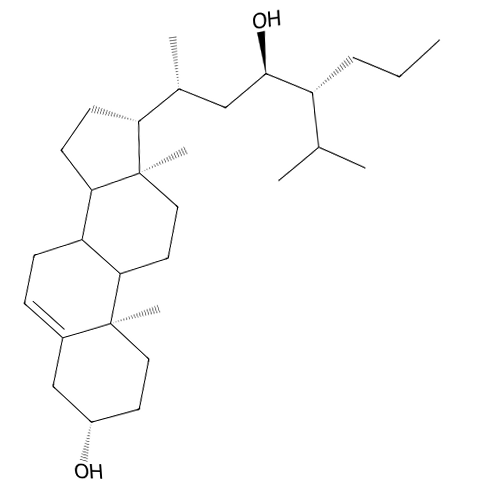 CCC[C@H](C(C)C)[C@H](O)C[C@@H](C)[C@H]1CCC2C3CC=C4C[C@@H](O)CC[C@]4(C)C3CC[C@@]21C